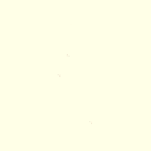 Cc1cc(C[C@@H]2CCN([C@H](C)c3ccc4c(n3)OCCO4)C2)cc(C)n1